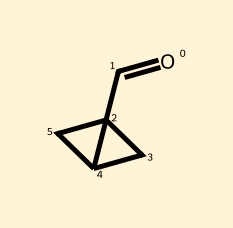 O=CC12CC1C2